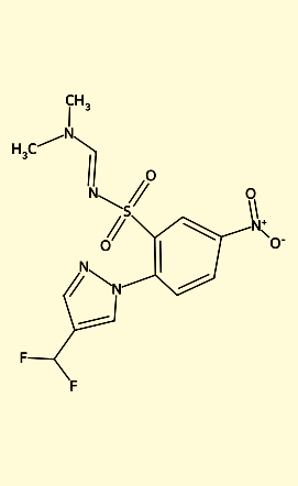 CN(C)/C=N/S(=O)(=O)c1cc([N+](=O)[O-])ccc1-n1cc(C(F)F)cn1